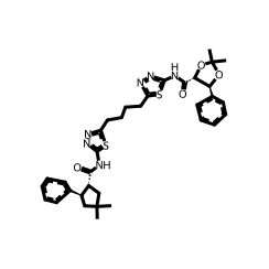 CC1(C)C[C@@H](C(=O)Nc2nnc(CCCCc3nnc(NC(=O)[C@@H]4OC(C)(C)O[C@H]4c4ccccc4)s3)s2)[C@H](c2ccccc2)C1